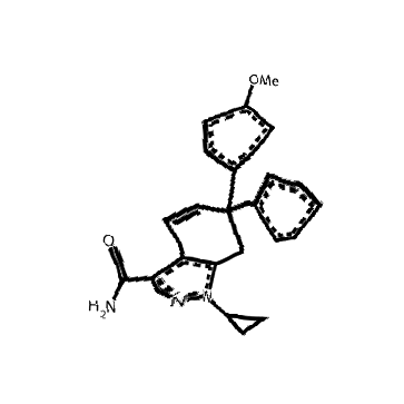 COc1ccc(C2(c3ccccc3)C=Cc3c(C(N)=O)nn(C4CC4)c3C2)cc1